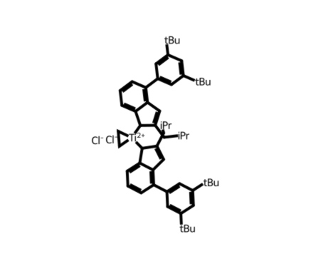 CC(C)CC1=Cc2c(-c3cc(C(C)(C)C)cc(C(C)(C)C)c3)cccc2[CH]1[Ti+2]1([CH]2C(CC(C)C)=Cc3c(-c4cc(C(C)(C)C)cc(C(C)(C)C)c4)cccc32)[CH2][CH2]1.[Cl-].[Cl-]